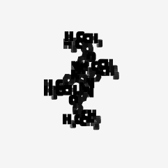 CC(C)(C)c1ccc2oc3cc4c(cc3c2c1)nc1n4c2c3c4cc(C(C)(C)C)ccc4n4c3c(c3c5cc(C(C)(C)C)ccc5n1c32)n1c2cc3oc5ccc(C(C)(C)C)cc5c3cc2nc14